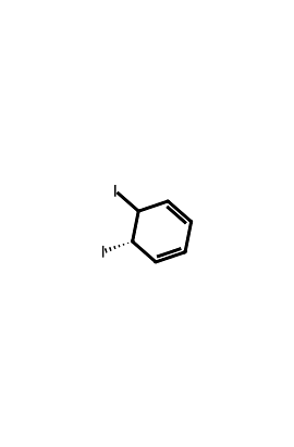 IC1C=CC=C[C@@H]1I